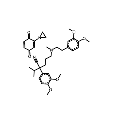 COc1ccc(CCN(C)CCCC(C#N)(c2ccc(OC)c(OC)c2)C(C)C)cc1OC.O=C1C=CC(=O)C(N2CC2)=C1